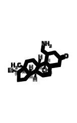 CC[C@H]1CC[C@H]2[C@@H]3C=CC4=CC(=O)CC(CN)[C@]4(C)[C@H]3CC[C@]12C